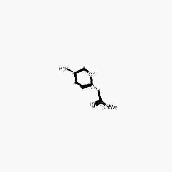 CNC(=O)C[C@@H]1CC[C@@H](N)CO1